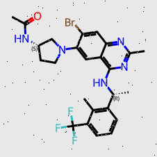 CC(=O)N[C@H]1CCN(c2cc3c(N[C@H](C)c4cccc(C(F)(F)F)c4C)nc(C)nc3cc2Br)C1